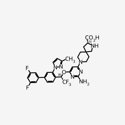 Cc1ccn(-c2cc(-c3cc(F)cc(F)c3)ccc2[C@@H](Oc2cc(N3CCC4(CC3)CN[C@H](C(=O)O)C4)nc(N)n2)C(F)(F)F)n1